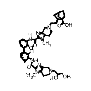 Cn1c(C(=O)Nc2cccc(-c3cccc(NC(=O)c4nc5c(n4C)CCN(CC(O)CO)C5)c3Cl)c2Cl)nc2c1CCN(CCC1CC3CCC1(C(=O)O)C3)C2